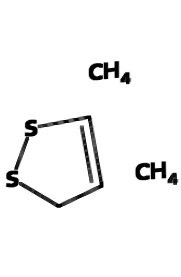 C.C.C1=CSSC1